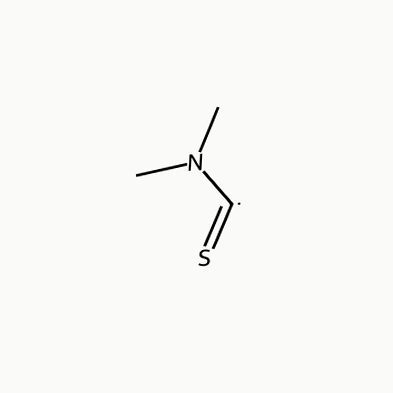 CN(C)[C]=S